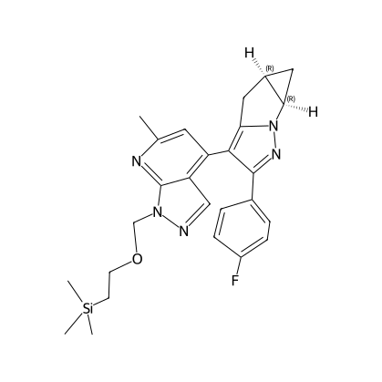 Cc1cc(-c2c(-c3ccc(F)cc3)nn3c2C[C@H]2C[C@H]23)c2cnn(COCC[Si](C)(C)C)c2n1